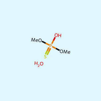 COP(O)(=S)OC.O